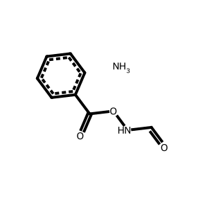 N.O=CNOC(=O)c1ccccc1